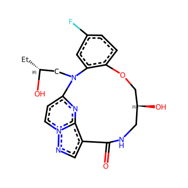 CC[C@@H](O)CN1c2ccn3ncc(c3n2)C(=O)NC[C@H](O)COc2ccc(F)cc21